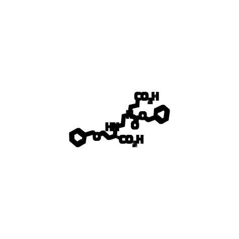 O=C(O)CCN(CCN[C@@H](CCOCc1ccccc1)C(=O)O)C(=O)OCc1ccccc1